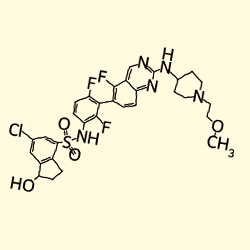 COCCN1CCC(Nc2ncc3c(F)c(-c4c(F)ccc(NS(=O)(=O)c5cc(Cl)cc6c5CCC6O)c4F)ccc3n2)CC1